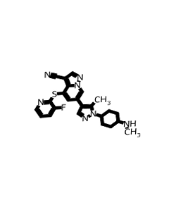 CNC1CCC(n2ncc(-c3cc(Sc4ncccc4F)c4c(C#N)cnn4c3)c2C)CC1